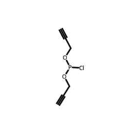 C#CCOP(Cl)OCC#C